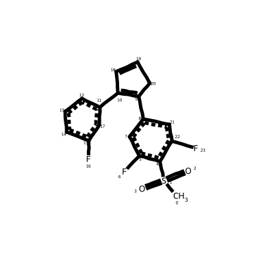 CS(=O)(=O)c1c(F)cc(C2=C(c3cccc(F)c3)C=CC2)cc1F